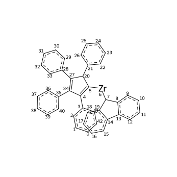 c1ccc(C2=[C]([Zr][CH]3c4ccccc4-c4ccccc43)C(c3ccccc3)C(c3ccccc3)=C2c2ccccc2)cc1